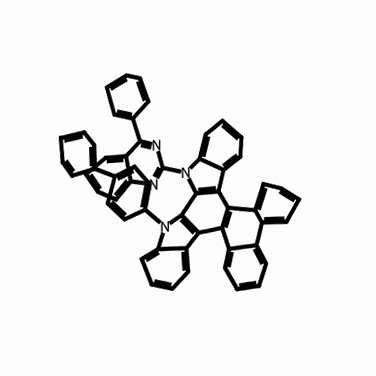 c1ccc(-c2ccc(-n3c4ccccc4c4c5c6ccccc6c6ccccc6c5c5c6ccccc6n(-c6nc(-c7ccccc7)c7ccccc7n6)c5c43)cc2)cc1